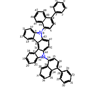 c1ccc(-c2ccc(-n3c4ccccc4c4c5c6ccccc6n(-c6ccc(-c7ccccc7)c7ccccc67)c5ccc43)c3ccccc23)cc1